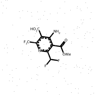 COC(=O)c1c(C(F)F)nc(C(F)(F)F)c(C(=O)O)c1N